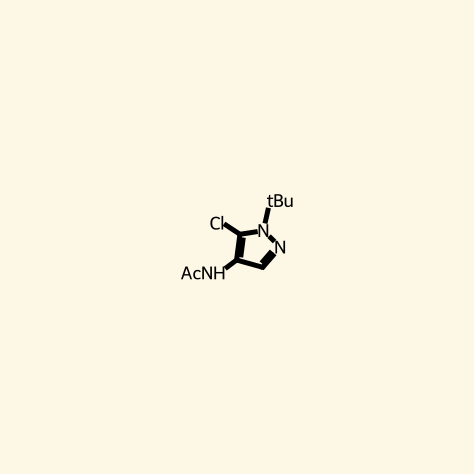 CC(=O)Nc1cnn(C(C)(C)C)c1Cl